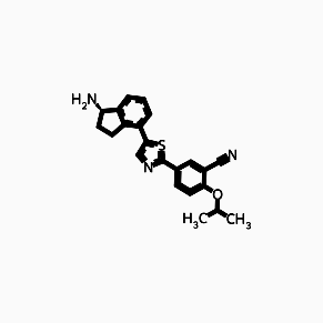 CC(C)OC1=C=C=C(c2ncc(-c3cccc4c3CC[C@H]4N)s2)C=C1C#N